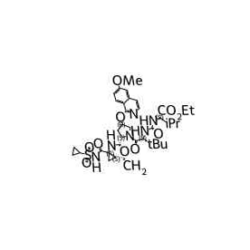 C=C[C@@H]1C[C@]1(NC(=O)[C@@H]1C[C@@H](Oc2nccc3cc(OC)ccc23)CN1C(=O)[C@@H](NC(=O)N[C@H](C(=O)OCC)C(C)C)C(C)(C)C)C(=O)NS(=O)(=O)C1CC1